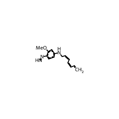 C=C/C=C\C=C/CNc1ccc(N=N)c(OC)c1